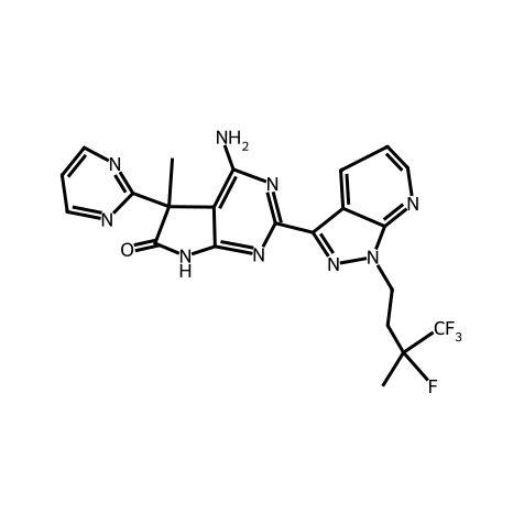 CC1(c2ncccn2)C(=O)Nc2nc(-c3nn(CCC(C)(F)C(F)(F)F)c4ncccc34)nc(N)c21